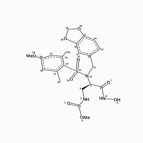 COC(=O)NC[C@H](C(=O)NO)N(Cc1ccc2c(c1)OCO2)S(=O)(=O)c1c(C)cc(OC)cc1C